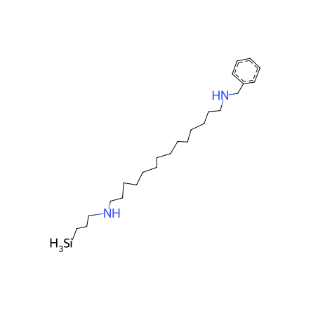 [SiH3]CCCNCCCCCCCCCCCCCCNCc1ccccc1